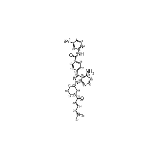 CC(C)c1ccnc(NC(=O)c2ccc(-c3nn(C4CCCN(C(=O)C=CCN(C)C)C4)c4ncnc(N)c34)cc2)c1